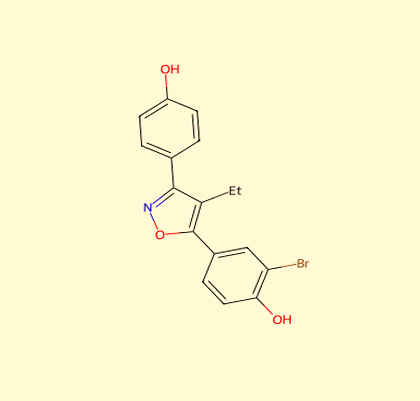 CCc1c(-c2ccc(O)cc2)noc1-c1ccc(O)c(Br)c1